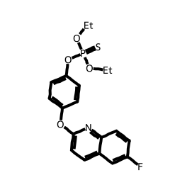 CCOP(=S)(OCC)Oc1ccc(Oc2ccc3cc(F)ccc3n2)cc1